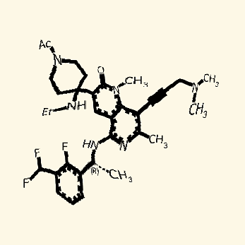 CCNC1(c2cc3c(N[C@H](C)c4cccc(C(F)F)c4F)nc(C)c(C#CCN(C)C)c3n(C)c2=O)CCN(C(C)=O)CC1